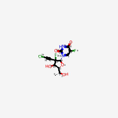 C[C@@H](O)[C@H]1O[C@@H](n2cc(F)c(=O)[nH]c2=O)C(F)(C#CCl)C1O